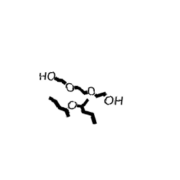 CCCC(C)OC(C)CCC.OCCOCCOCCO